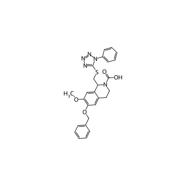 COc1cc2c(cc1OCc1ccccc1)CCN(C(=O)O)C2CSc1nnnn1-c1ccccc1